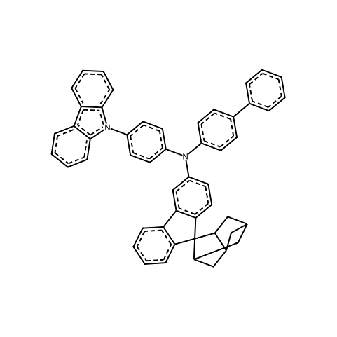 c1ccc(-c2ccc(N(c3ccc(-n4c5ccccc5c5ccccc54)cc3)c3ccc4c(c3)-c3ccccc3C43C4CC5CC(C4)C3C5)cc2)cc1